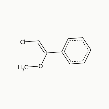 COC(=CCl)c1ccccc1